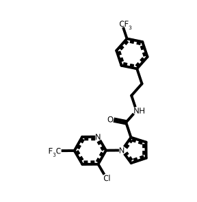 O=C(NCCc1ccc(C(F)(F)F)cc1)c1cccn1-c1ncc(C(F)(F)F)cc1Cl